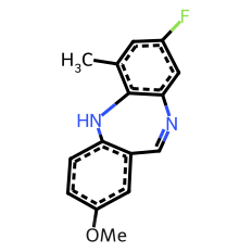 COc1ccc2c(c1)C=Nc1cc(F)cc(C)c1N2